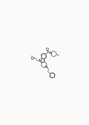 COCCn1c2c(c3cc(C(=O)N4CCC(C)CC4)ccc31)CN(CCc1ccccc1)CC2